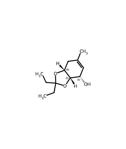 CCC1(CC)O[C@H]2[C@@H](O)C=C(C)C[C@H]2O1